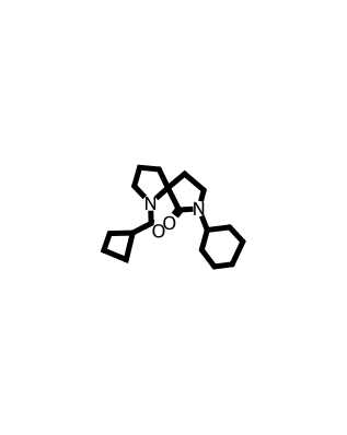 O=C(C1CCC1)N1CCCC12CCN(C1CCCCC1)C2=O